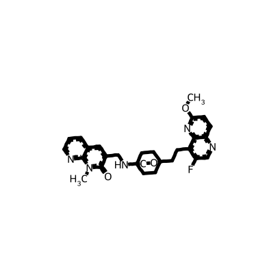 COc1ccc2ncc(F)c(CCC34CCC(NCc5cc6cccnc6n(C)c5=O)(CC3)CO4)c2n1